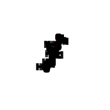 Cc1cc(C(=O)N(C)C2CCN(C)CC2)ccc1-c1ccc(C[C@H](NC(=O)[C@H]2CC[C@H](CN)CC2)C(=O)Nc2ccc(-c3nnc(C(F)(F)C(F)(F)C(=O)O)[nH]3)cc2)cc1.Cl